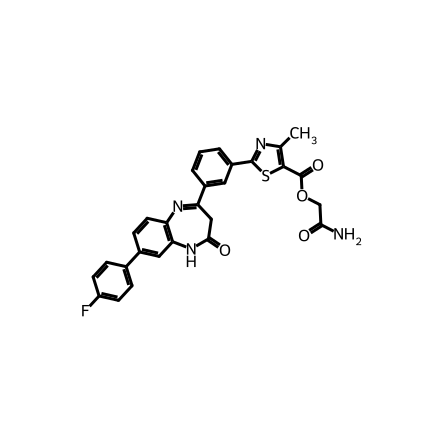 Cc1nc(-c2cccc(C3=Nc4ccc(-c5ccc(F)cc5)cc4NC(=O)C3)c2)sc1C(=O)OCC(N)=O